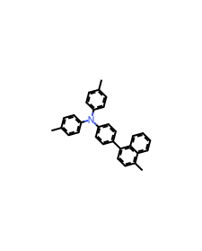 Cc1ccc(N(c2ccc(C)cc2)c2ccc(-c3ccc(C)c4ccccc34)cc2)cc1